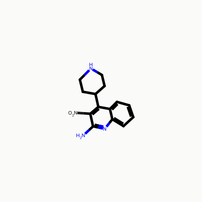 Nc1nc2ccccc2c(C2CCNCC2)c1[N+](=O)[O-]